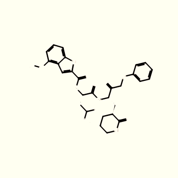 COc1cccc2[nH]c(C(=O)N[C@@H](CC(C)C)C(=O)N[C@@H](C[C@@H]3CCCNC3=O)C(=O)COc3ccccc3)cc12